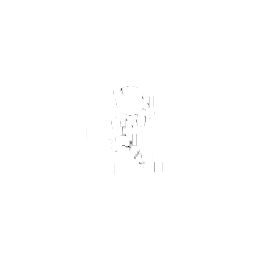 CC(C)C(NC(=O)OCC(C)(C)C)C(=O)NC1CCCOCCCCNC(=O)C1=O